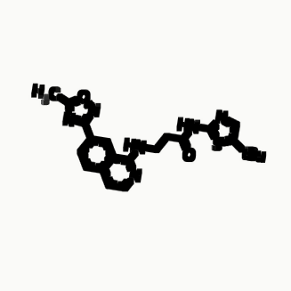 Cc1nc(-c2ccc3ccnc(NCCC(=O)Nc4ncc(C(C)(C)C)s4)c3c2)no1